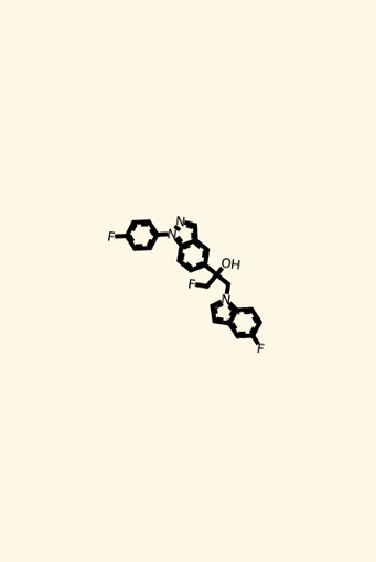 OC(CF)(Cn1ccc2cc(F)ccc21)c1ccc2c(cnn2-c2ccc(F)cc2)c1